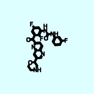 O=C(Nc1cccc(F)c1)Nc1cc(F)cc(C(=O)c2ccc3ncc(C4CNCCO4)cc3n2)c1F